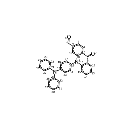 O=Cc1ccc(C=O)c(N(c2ccccc2)c2ccc(N(c3ccccc3)c3ccccc3)cc2)c1